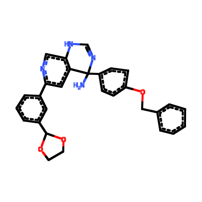 NC1(c2ccc(OCc3ccccc3)cc2)N=CNc2cnc(-c3cccc(C4OCCO4)c3)cc21